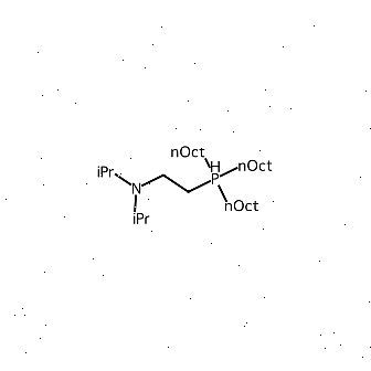 CCCCCCCC[PH](CCCCCCCC)(CCCCCCCC)CCN(C(C)C)C(C)C